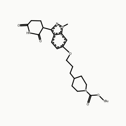 Cn1nc(C2CCC(=O)NC2=O)c2ccc(OCCCC3CCN(C(=O)OC(C)(C)C)CC3)cc21